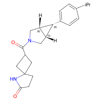 CC(C)c1ccc([C@@H]2[C@@H]3CN(C(=O)C4CC5(CCC(=O)N5)C4)C[C@@H]32)cc1